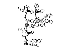 CC(=O)N[C@@H](CC(N)=O)C(=O)[O-].CC(=O)N[C@@H](CC(N)=O)C(=O)[O-].CC(=O)N[C@@H](CC(N)=O)C(=O)[O-].[In+3]